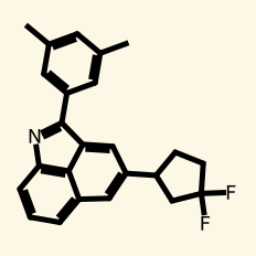 Cc1cc(C)cc(C2=Nc3cccc4cc(C5CCC(F)(F)C5)cc2c34)c1